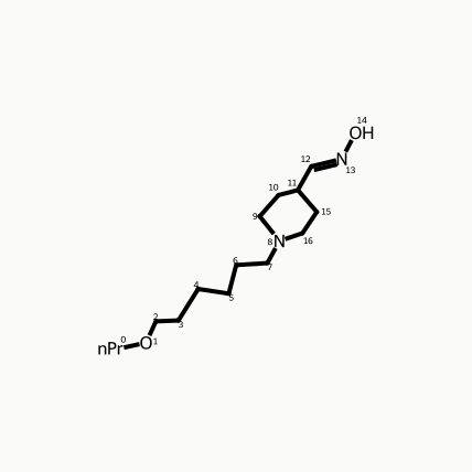 CCCOCCCCCCN1CCC(C=NO)CC1